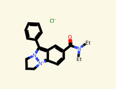 CCN(CC)C(=O)c1ccc2c(c1)c(-c1ccccc1)n1[n+]2CCC1.[Cl-]